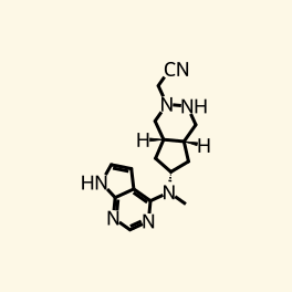 CN(c1ncnc2[nH]ccc12)[C@H]1C[C@H]2CNN(CC#N)C[C@H]2C1